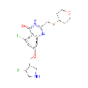 O=c1[nH]c(CSC2CCOCC2)nc2cc(OCC3CNCC3F)cc(F)c12